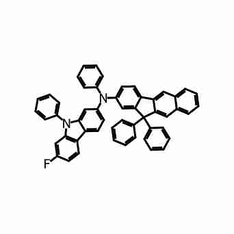 Fc1ccc2c3ccc(N(c4ccccc4)c4ccc5c(c4)C(c4ccccc4)(c4ccccc4)c4cc6ccccc6cc4-5)cc3n(-c3ccccc3)c2c1